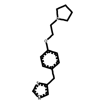 c1ncc(Cc2ccc(OCCN3CCCC3)cc2)s1